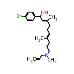 C=CCN(C)CCC/C(C)=C/CC/C(C)=C/C(O)c1ccc(Br)cc1